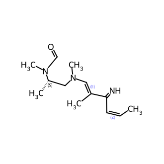 C/C=C\C(=N)/C(C)=C/N(C)C[C@H](C)N(C)C=O